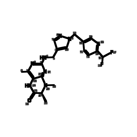 Cc1nc(NCc2cnn(Cc3ccc(C(F)F)nc3)c2)nc2c1NC(=O)[C@H](C)N2C